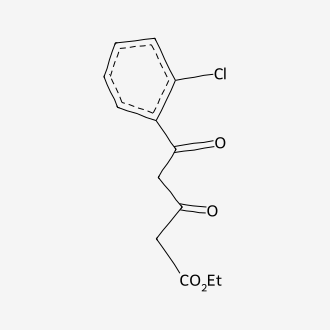 CCOC(=O)CC(=O)CC(=O)c1ccccc1Cl